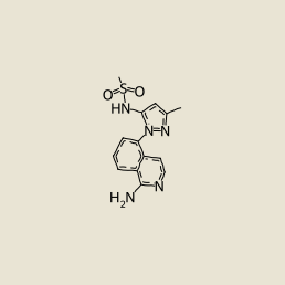 Cc1cc(NS(C)(=O)=O)n(-c2cccc3c(N)nccc23)n1